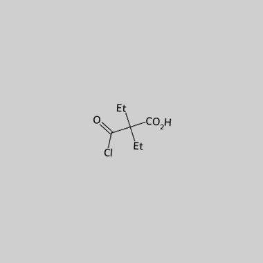 CCC(CC)(C(=O)O)C(=O)Cl